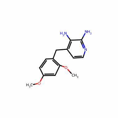 COc1ccc(Cc2ccnc(N)c2N)c(OC)c1